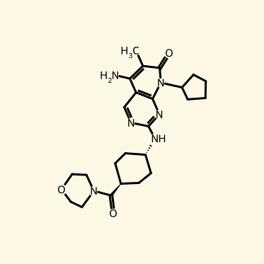 Cc1c(N)c2cnc(N[C@H]3CC[C@H](C(=O)N4CCOCC4)CC3)nc2n(C2CCCC2)c1=O